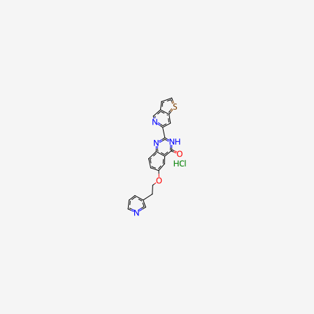 Cl.O=c1[nH]c(-c2cc3sccc3cn2)nc2ccc(OCCc3cccnc3)cc12